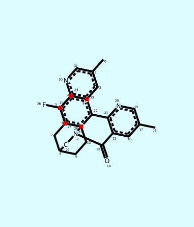 Cc1ccc(OC2CC3CCC2N(C(=O)c2cc(C)cnc2-c2ncc(F)cn2)C3)nc1